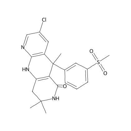 CC1(C)CC2=C(C(=O)N1)C(C)(c1cccc(S(C)(=O)=O)c1)c1cc(Cl)cnc1N2